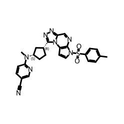 Cc1ccc(S(=O)(=O)n2ccc3c2ncc2nnc([C@@H]4CC[C@H](N(C)c5ccc(C#N)cn5)C4)n23)cc1